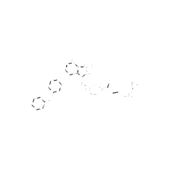 CN(CC=CC(=O)N1CC[C@@H](Nc2n[nH]c3nccc(Oc4cccc(Oc5ccccc5)c4)c23)C1)C1CC1